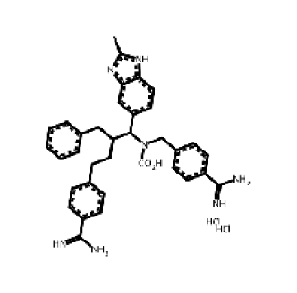 Cc1nc2cc(C(C(CCc3ccc(C(=N)N)cc3)Cc3ccccc3)N(Cc3ccc(C(=N)N)cc3)C(=O)O)ccc2[nH]1.Cl.Cl